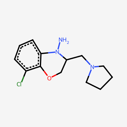 NN1c2cccc(Cl)c2OCC1CN1CCCC1